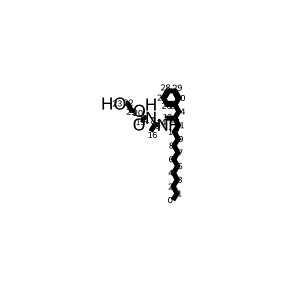 CCCCCCCCCCCCC(CNC(C)NC(=O)OCCO)Cc1ccccc1